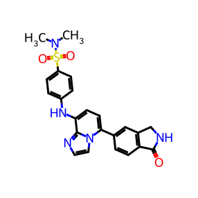 CN(C)S(=O)(=O)c1ccc(Nc2ccc(-c3ccc4c(c3)CNC4=O)n3ccnc23)cc1